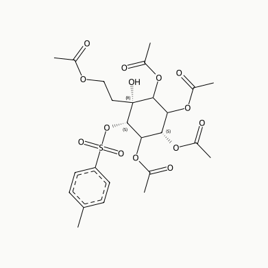 CC(=O)OCC[C@@]1(O)C(OC(C)=O)C(OC(C)=O)[C@H](OC(C)=O)C(OC(C)=O)[C@@H]1OS(=O)(=O)c1ccc(C)cc1